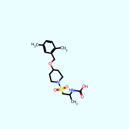 Cc1ccc(C)c(COC2CCN(S(=O)(=O)CC(C)NC(=O)O)CC2)c1